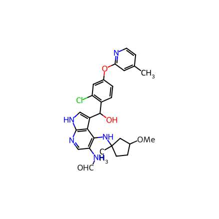 COC1CCC(C)(Nc2c(NC=O)cnc3[nH]cc(C(O)c4ccc(Oc5cc(C)ccn5)cc4Cl)c23)C1